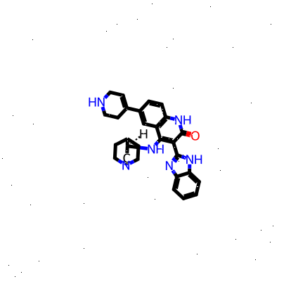 O=c1[nH]c2ccc(C3=CCNCC3)cc2c(N[C@H]2CN3CCC2CC3)c1-c1nc2ccccc2[nH]1